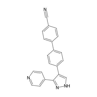 N#Cc1ccc(-c2ccc(-c3c[nH]nc3-c3ccncc3)cc2)cc1